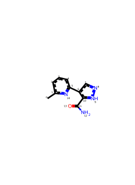 Cc1cccc(-c2cn[nH]c2C(N)=O)n1